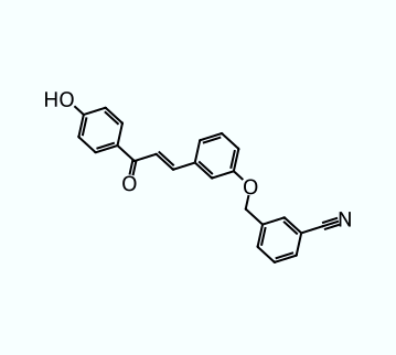 N#Cc1cccc(COc2cccc(/C=C/C(=O)c3ccc(O)cc3)c2)c1